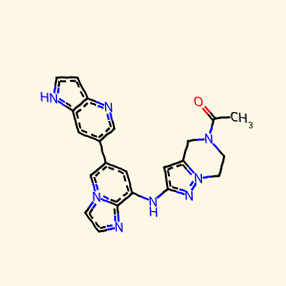 CC(=O)N1CCn2nc(Nc3cc(-c4cnc5cc[nH]c5c4)cn4ccnc34)cc2C1